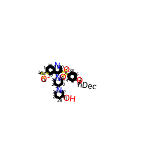 CCCCCCCCCCOc1ccc(S(=O)(=O)c2cnc3ccc([S+](C)[O-])cc3c2N2CCC(N3CCCC(O)C3)CC2)cc1